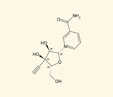 C#C[C@@]1(O)[C@@H](CO)O[C@@H]([n+]2cccc(C(N)=O)c2)[C@@H]1O